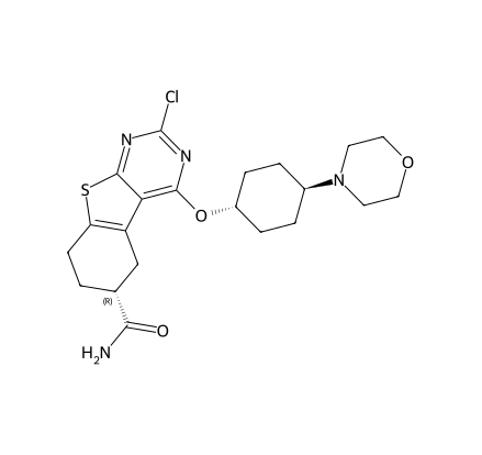 NC(=O)[C@@H]1CCc2sc3nc(Cl)nc(O[C@H]4CC[C@H](N5CCOCC5)CC4)c3c2C1